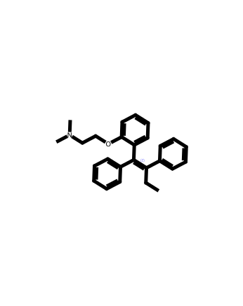 CC/C(=C(\c1ccccc1)c1ccccc1OCCN(C)C)c1ccccc1